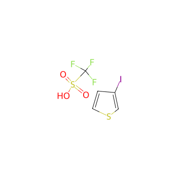 Ic1ccsc1.O=S(=O)(O)C(F)(F)F